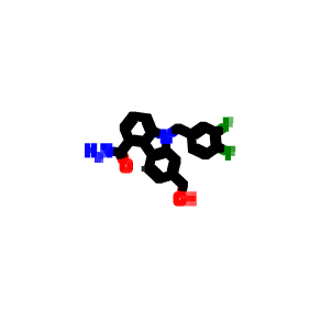 NC(=O)c1cccc2c1c1[c]cc(CO)cc1n2Cc1ccc(F)c(F)c1